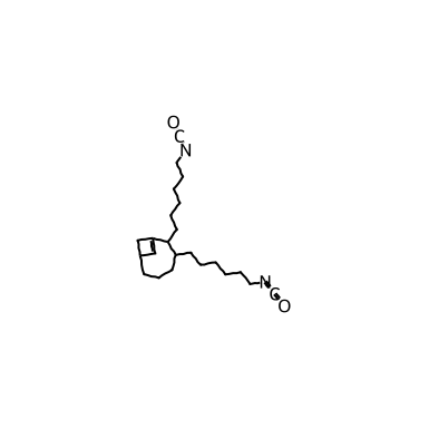 O=C=NCCCCCCC1CCCC2C=C(C2)C1CCCCCCN=C=O